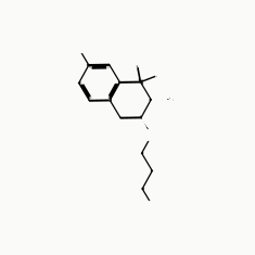 CCC1(CC)c2cc(O)ccc2C[C@H](OCCCO)[C@H]1N